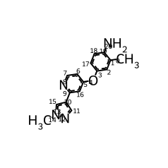 Cc1cc(Oc2ccnc(-c3cnn(C)c3)c2)ccc1N